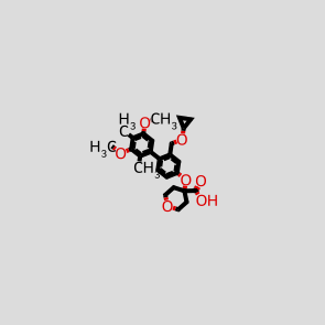 COc1cc(-c2ccc(OC3(C(=O)O)CCOCC3)cc2COC2CC2)c(C)c(OC)c1C